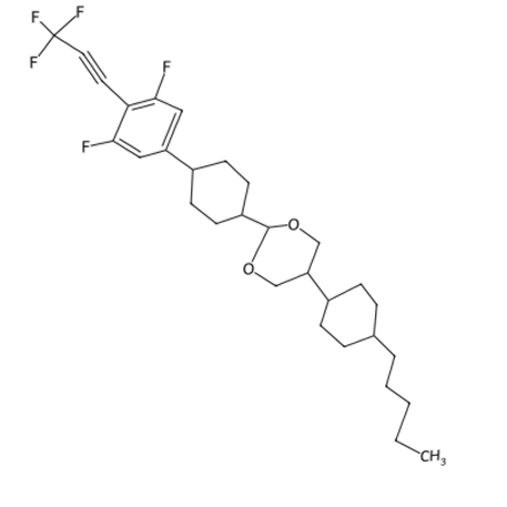 CCCCCC1CCC(C2COC(C3CCC(c4cc(F)c(C#CC(F)(F)F)c(F)c4)CC3)OC2)CC1